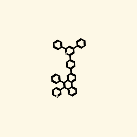 c1ccc(-c2cc(-c3ccccc3)nc(-c3ccc(-c4ccc5c(c4)c(-c4ccccc4)c(-c4cccnc4)c4ccccc45)cc3)c2)cc1